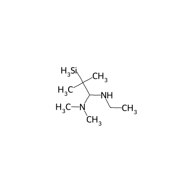 CCNC(N(C)C)C(C)(C)[SiH3]